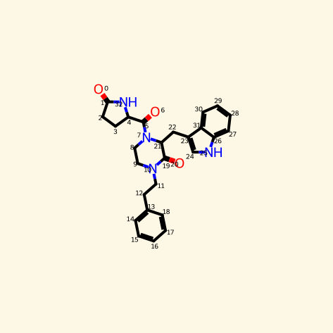 O=C1CCC(C(=O)N2CCN(CCc3ccccc3)C(=O)C2Cc2c[nH]c3ccccc23)N1